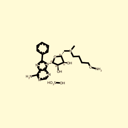 CN(CCCCON)C[C@H]1O[C@@H](n2c(-c3ccccc3)nc3c(N)ncnc32)[C@H](O)[C@@H]1O.O=S(=O)(O)O